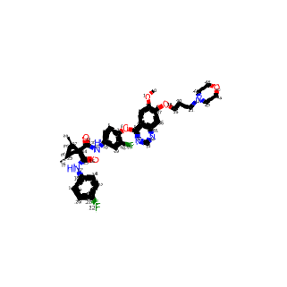 COc1cc2c(Oc3ccc(NC(=O)C4(C(=O)Nc5ccc(F)cc5)[C@H](C)[C@H]4C)cc3F)ncnc2cc1OCCCN1CCOCC1